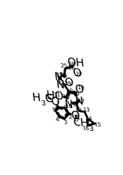 COc1cccc(OC)c1-n1c(CCC2CC2)nc(=O)c(-c2nnc(CC(=O)O)o2)c1O